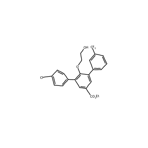 CCOC(=O)c1cc(-c2ccc(Cl)cc2)c(OCCO)c(-c2cccc(C(F)(F)F)c2)c1